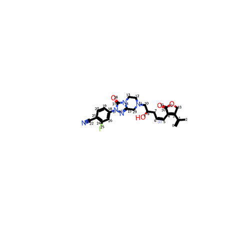 C=C(C)C1=C(/C=C\CC(O)CN2CCn3c(nn(-c4ccc(C#N)c(F)c4)c3=O)C2)C(=O)OC1